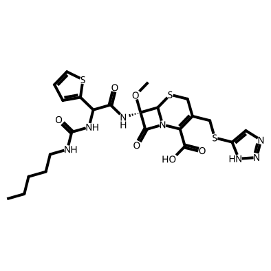 CCCCCNC(=O)NC(C(=O)N[C@@]1(OC)C(=O)N2C(C(=O)O)=C(CSc3cnn[nH]3)CSC21)c1cccs1